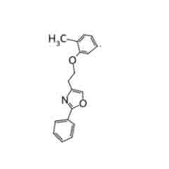 Cc1cc[c]cc1OCCc1coc(-c2ccccc2)n1